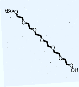 CC(C)(C)OCCOCCOCCOCCOCCOCCOO